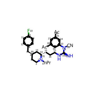 CCCN1CC[C@@H](Cc2ccc(F)cc2)C[C@@H]1CCCNC(=N)N(C#N)c1cc(C(C)=O)cc(C(C)=O)c1